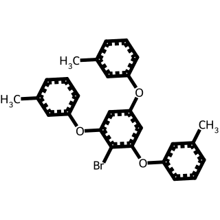 Cc1cccc(Oc2cc(Oc3cccc(C)c3)c(Br)c(Oc3cccc(C)c3)c2)c1